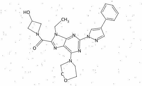 CCn1c(C(=O)N2CC(O)C2)nc2c(N3CCOCC3)nc(-n3cc(-c4ccccc4)cn3)nc21